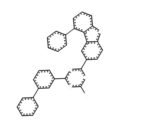 Clc1nc(-c2cccc(-c3ccccc3)c2)nc(-c2ccc3oc4cccc(-c5ccccc5)c4c3c2)n1